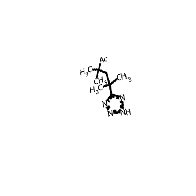 CC(=O)C(C)(C)CC(C)(C)c1nn[nH]n1